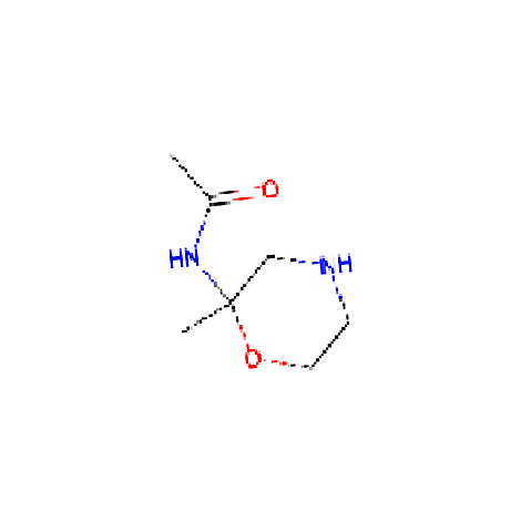 CC(=O)NC1(C)CNCCO1